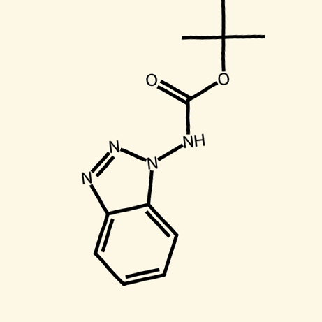 CC(C)(C)OC(=O)Nn1nnc2ccccc21